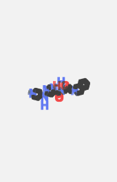 CN1CCC(Nc2cc(C(=O)NCC(C)(O)CN3CCc4ccccc4C3)ncn2)CC1